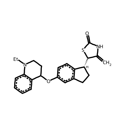 C=C1NC(=O)SC1[C@@H]1CCc2cc(OC3CCN(CC)c4ccccc43)ccc21